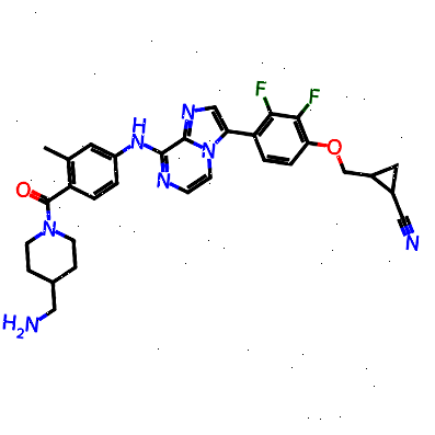 Cc1cc(Nc2nccn3c(-c4ccc(OCC5CC5C#N)c(F)c4F)cnc23)ccc1C(=O)N1CCC(CN)CC1